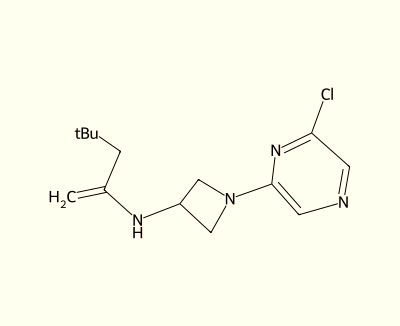 C=C(CC(C)(C)C)NC1CN(c2cncc(Cl)n2)C1